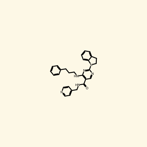 O=C(NCc1ccncc1)c1cnc(N2CCc3ccccc32)nc1NCCCc1ccccc1